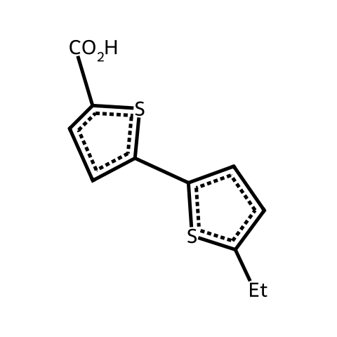 CCc1ccc(-c2ccc(C(=O)O)s2)s1